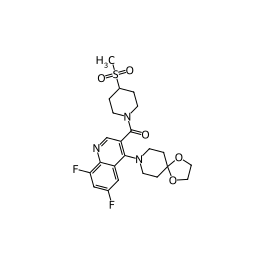 CS(=O)(=O)C1CCN(C(=O)c2cnc3c(F)cc(F)cc3c2N2CCC3(CC2)OCCO3)CC1